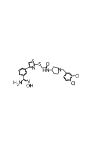 NC(=NO)c1cccc(-c2csc(SCC(=O)NC3CCN(Cc4ccc(Cl)c(Cl)c4)CC3)n2)c1